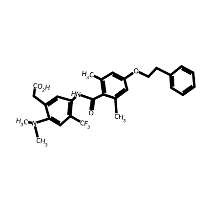 Cc1cc(OCCc2ccccc2)cc(C)c1C(=O)Nc1cc(CC(=O)O)c(N(C)C)cc1C(F)(F)F